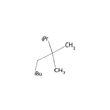 CCC(C)CC(C)(C)[C](C)C